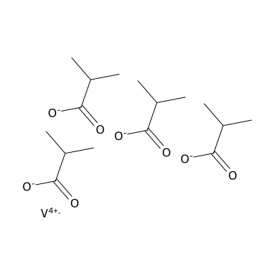 CC(C)C(=O)[O-].CC(C)C(=O)[O-].CC(C)C(=O)[O-].CC(C)C(=O)[O-].[V+4]